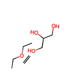 C=C.CCOCC.OCC(O)CO